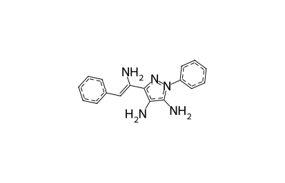 N/C(=C\c1ccccc1)c1nn(-c2ccccc2)c(N)c1N